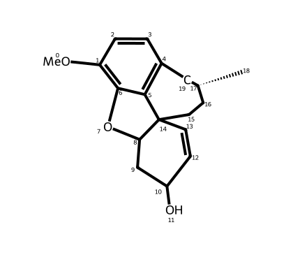 COc1ccc2c3c1OC1CC(O)C=CC31CC[C@@H](C)C2